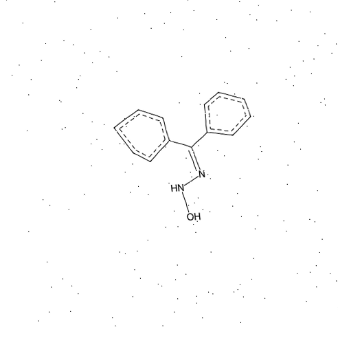 ONN=C(c1ccccc1)c1ccccc1